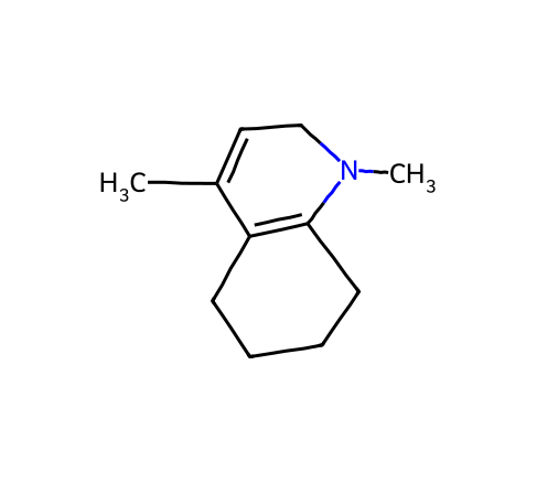 CC1=CCN(C)C2=C1CCCC2